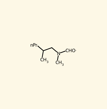 CCCC(C)CN(C)[C]=O